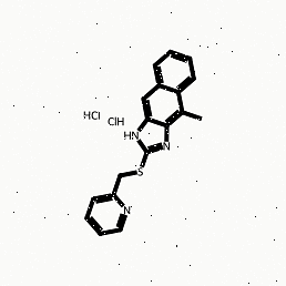 Cc1c2ccccc2cc2[nH]c(SCc3ccccn3)nc12.Cl.Cl